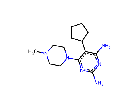 CN1CCN(c2nc(N)nc(N)c2C2CCCC2)CC1